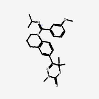 COc1cccc(/C(=N/C(C)C)N2CCCc3cc(C4=NN(C)C(=O)SC4(C)C)ccc32)c1